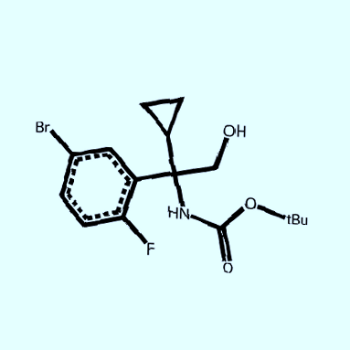 CC(C)(C)OC(=O)NC(CO)(c1cc(Br)ccc1F)C1CC1